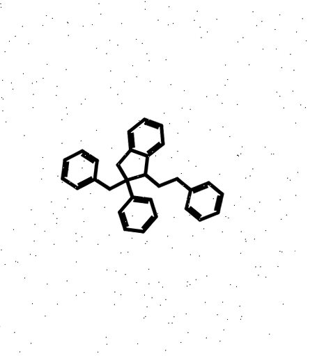 c1ccc(CC[C]2c3ccccc3CC2(Cc2ccccc2)c2ccccc2)cc1